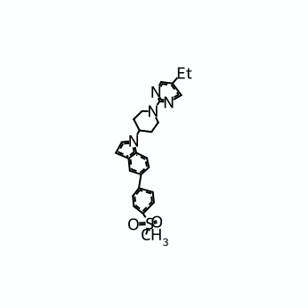 CCc1cnc(N2CCC(n3ccc4cc(-c5ccc(S(C)(=O)=O)cc5)ccc43)CC2)nc1